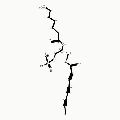 CC#CC#CC#CC(=O)OC[C@H](COP(=O)(O)O)OC(=O)CCCCCCCCCCCCCCC